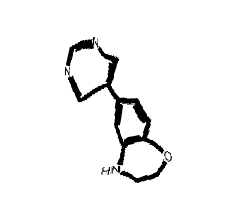 c1ncc(-c2ccc3c(c2)NCCO3)cn1